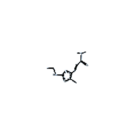 CCNc1nc(C)c(C=CC(=O)N(C)C)s1